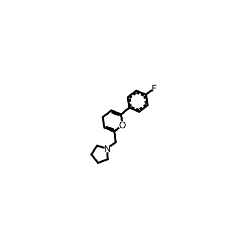 Fc1ccc(C2=CCC=C(CN3CCCC3)O2)cc1